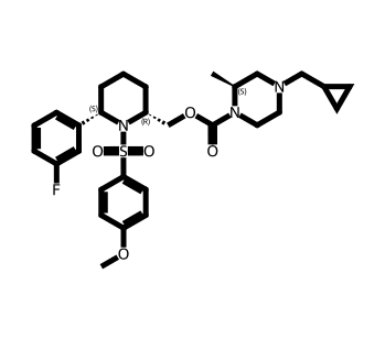 COc1ccc(S(=O)(=O)N2[C@@H](COC(=O)N3CCN(CC4CC4)C[C@@H]3C)CCC[C@H]2c2cccc(F)c2)cc1